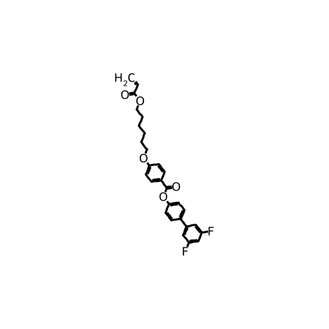 C=CC(=O)OCCCCCCOc1ccc(C(=O)Oc2ccc(-c3cc(F)cc(F)c3)cc2)cc1